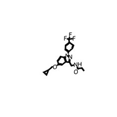 CCC(=O)NCc1nn(-c2ccc(C(F)(F)F)cc2)c2ccc(OCC3CC3)cc12